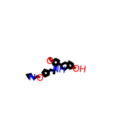 COc1ccc(C2CCc3cc(O)ccc3C2)c(NC(C)Cc2ccc(OCCN3CCC3)cc2)c1